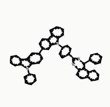 c1ccc(-c2nc(-c3ccc(-n4c5ccccc5c5ccc(-c6ccc7c(c6)c6ccccc6n7-c6ccccc6)cc54)cc3)nc3ccc4ccccc4c23)cc1